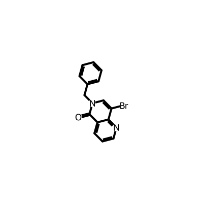 O=c1c2cccnc2c(Br)cn1Cc1ccccc1